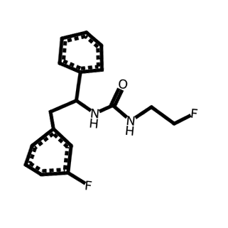 O=C(NCCF)NC(Cc1cccc(F)c1)c1ccccc1